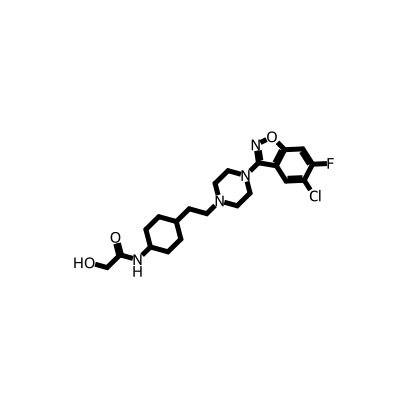 O=C(CO)NC1CCC(CCN2CCN(c3noc4cc(F)c(Cl)cc34)CC2)CC1